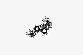 [2H]C([2H])([2H])Oc1cccc([C@]2(O)CCCC[C@H]2CN(C([2H])([2H])[2H])C([2H])([2H])[2H])c1